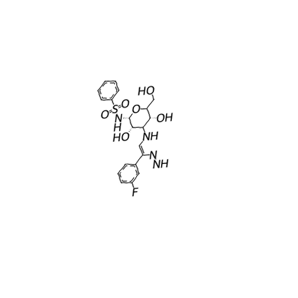 N=N/C(=C\NC1[C@@H](O)C(CO)O[C@@H](NS(=O)(=O)c2ccccc2)[C@H]1O)c1cccc(F)c1